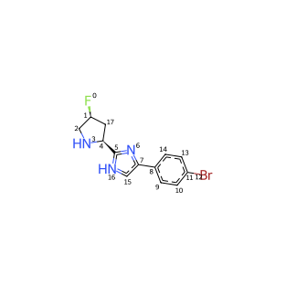 F[C@@H]1CN[C@H](c2nc(-c3ccc(Br)cc3)c[nH]2)C1